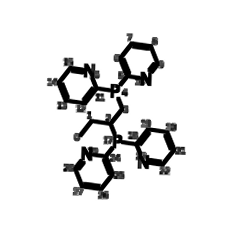 CCC(CP(c1ccccn1)c1ccccn1)P(c1ccccn1)c1ccccn1